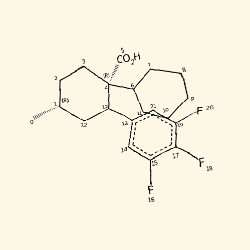 C[C@@H]1CC[C@@](C(=O)O)(C2CCCCC2)C(c2cc(F)c(F)c(F)c2)C1